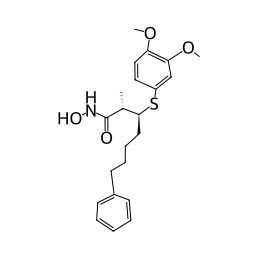 COc1ccc(S[C@@H](CCCCc2ccccc2)[C@@H](C)C(=O)NO)cc1OC